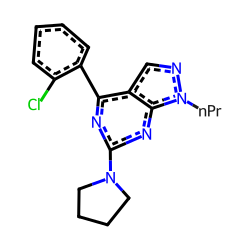 CCCn1ncc2c(-c3ccccc3Cl)nc(N3CCCC3)nc21